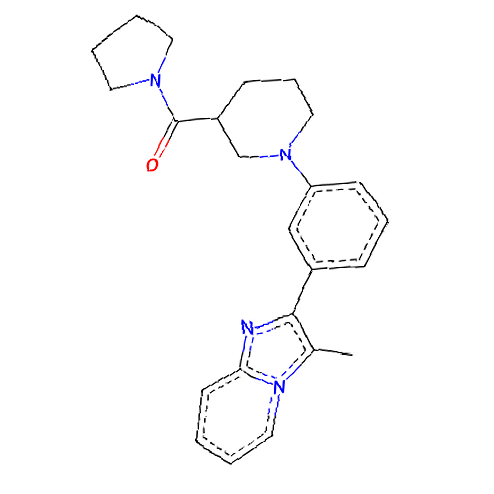 Cc1c(-c2cccc(N3CCCC(C(=O)N4CCCC4)C3)c2)nc2ccccn12